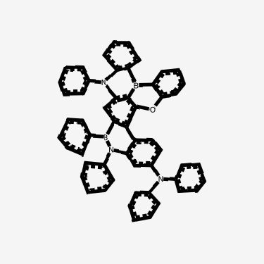 c1ccc(B2c3cc4c5c(c3-c3ccc(N(c6ccccc6)c6ccccc6)cc3N2c2ccccc2)Oc2ccccc2B5c2ccccc2N4c2ccccc2)cc1